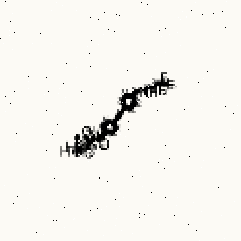 CNC(=O)[C@@](C)(C(=O)NO)N(C)C(=O)c1ccc(C#Cc2ccc(CNCCCC(F)(F)F)cc2)cc1